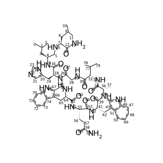 CC(C)C[C@@H](CN[C@@H](CC(C)C)C(N)=O)NC(=O)[C@H](Cc1cnc[nH]1)NC(=O)CNC(=O)[C@@H](NC(=O)[C@H](C)NC(=O)[C@H](Cc1c[nH]c2ccccc12)NC(=O)[C@H](CCC(N)=O)NC(=O)[C@H]1Cc2c([nH]c3ccccc23)CN1)C(C)C